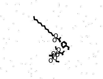 C=C(C)C(=O)OCC.C=C(C)C(=O)OCCCCCCCCCCCC.C=C(O)C(=O)OCC.C=Cc1ccccc1